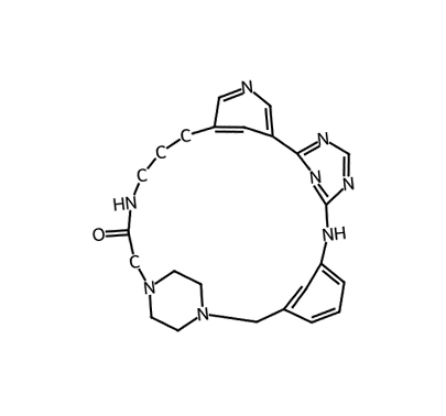 O=C1CN2CCN(CC2)Cc2cccc(c2)Nc2ncnc(n2)-c2cncc(c2)CCCN1